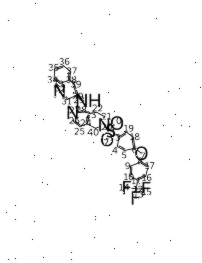 O=S(=O)(c1ccc(Oc2ccc(C(F)(F)F)cc2)cc1)N1CCc2c(ccnc2Nc2cnc3ccccc3c2)C1